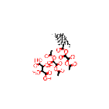 CC(=O)OC(=O)C(=O)OC(C)=O.CC(=O)OC(=O)C(=O)OC(C)=O.O=C(O)C(O)C(O)C(=O)O.[SnH2].[SnH2].[SnH2].[SnH2]